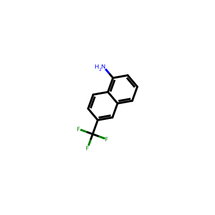 Nc1cccc2cc(C(F)(F)F)ccc12